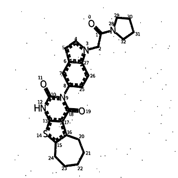 O=C(Cn1ccc2cc(-n3c(=O)[nH]c4sc5c(c4c3=O)CCCCC5)ccc21)N1CCCC1